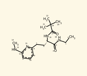 CCNC(=O)[C@H](CCc1cccc(NC)n1)NC(=O)C(C)(C)C